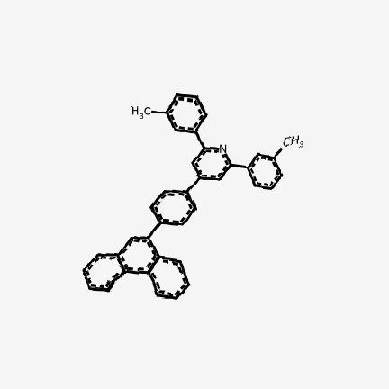 Cc1cccc(-c2cc(-c3ccc(-c4cc5ccccc5c5ccccc45)cc3)cc(-c3cccc(C)c3)n2)c1